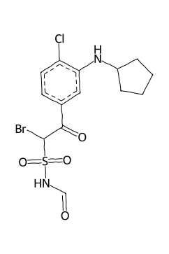 O=CNS(=O)(=O)C(Br)C(=O)c1ccc(Cl)c(NC2CCCC2)c1